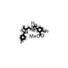 COC(=O)c1cc(S(=O)(=O)NCCc2nc(-c3ccc(F)cc3)sc2C)ccc1C(C)C